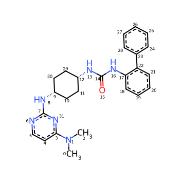 CN(C)c1ccnc(N[C@H]2CC[C@@H](NC(=O)Nc3ccccc3-c3ccccc3)CC2)n1